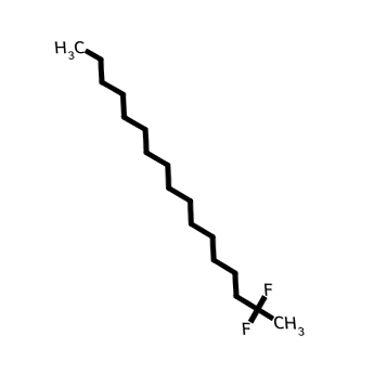 CCCCCCCCCCCCCCCC(C)(F)F